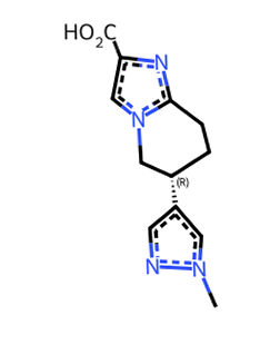 Cn1cc([C@H]2CCc3nc(C(=O)O)cn3C2)cn1